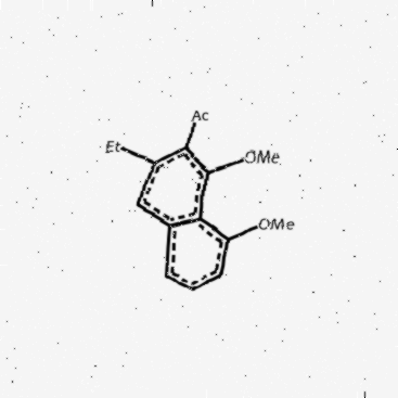 CCc1cc2cccc(OC)c2c(OC)c1C(C)=O